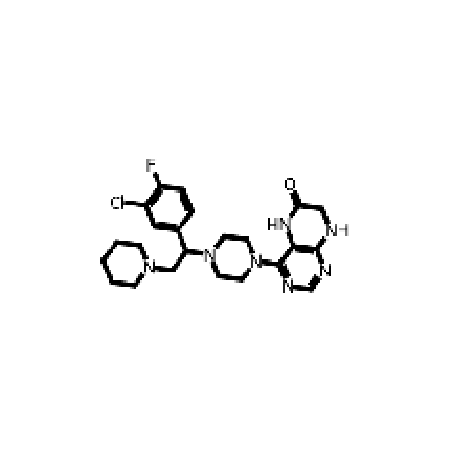 O=C1CNc2ncnc(N3CCN(C(CN4CCCCC4)c4ccc(F)c(Cl)c4)CC3)c2N1